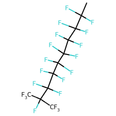 CC(F)(F)C(F)(F)C(F)(F)C(F)(F)C(F)(F)C(F)(F)C(F)(F)C(F)(C(F)(F)F)C(F)(F)F